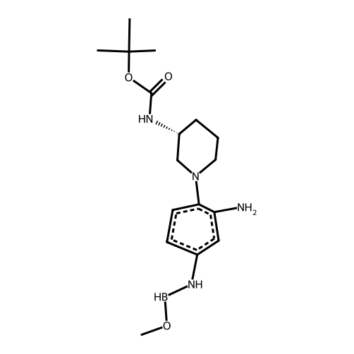 COBNc1ccc(N2CCC[C@@H](NC(=O)OC(C)(C)C)C2)c(N)c1